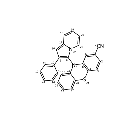 N#Cc1ccc2c(c1)N(c1c(-c3ccccc3)cc3ccccn13)c1ccccc1S2